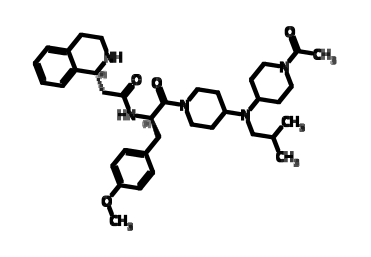 COc1ccc(C[C@@H](NC(=O)C[C@H]2NCCc3ccccc32)C(=O)N2CCC(N(CC(C)C)C3CCN(C(C)=O)CC3)CC2)cc1